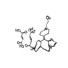 O=C(O)C=CC(=O)O.O=C(O)C=CC(=O)O.OCCN1CCC(=C2c3ccccc3CCn3ccnc32)CC1